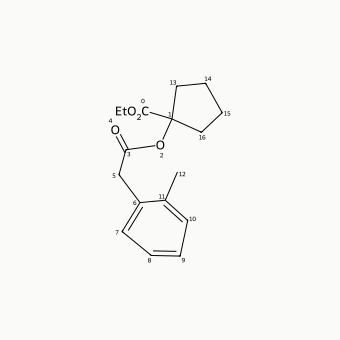 CCOC(=O)C1(OC(=O)Cc2ccccc2C)CCCC1